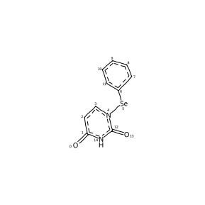 O=c1ccn([Se]c2ccccc2)c(=O)[nH]1